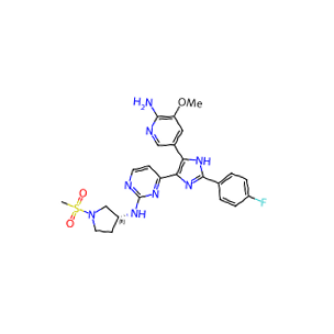 COc1cc(-c2[nH]c(-c3ccc(F)cc3)nc2-c2ccnc(N[C@@H]3CCN(S(C)(=O)=O)C3)n2)cnc1N